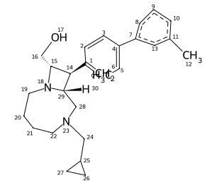 C=C(/C=C\C(=C/C)c1cccc(C)c1)[C@@H]1[C@@H](CO)N2CCCCN(CC3CC3)C[C@@H]12